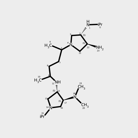 CC(C)N[C@H]1CN(C(C)CCC(C)N[C@H]2CN(C(C)C)C[C@@H]2N(C)C)C[C@@H]1N